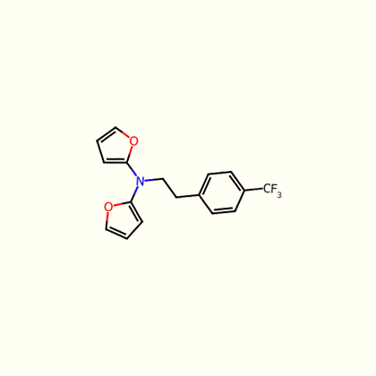 FC(F)(F)c1ccc(CCN(c2ccco2)c2ccco2)cc1